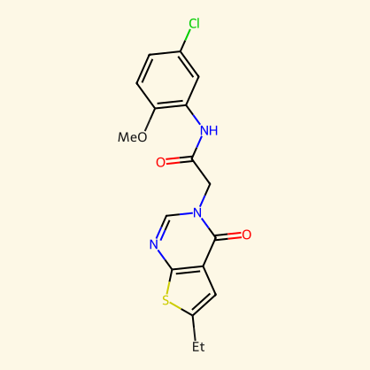 CCc1cc2c(=O)n(CC(=O)Nc3cc(Cl)ccc3OC)cnc2s1